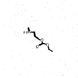 CCOC(=O)OCCNC